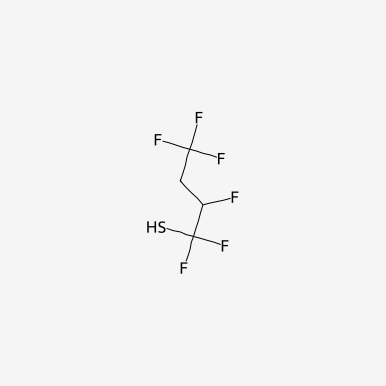 FC(CC(F)(F)F)C(F)(F)S